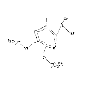 CCOC(=O)Oc1cc(C)c(N(CC)CC)nc1OC(=O)OCC